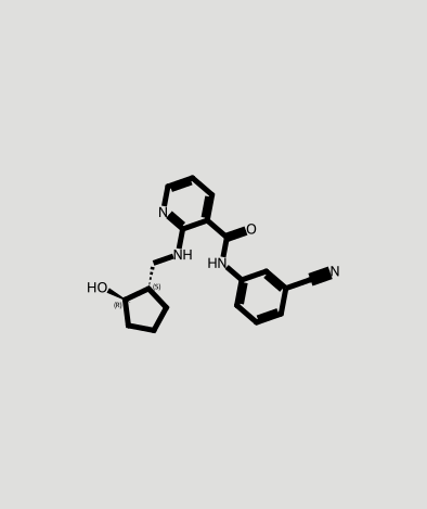 N#Cc1cccc(NC(=O)c2cccnc2NC[C@@H]2CCC[C@H]2O)c1